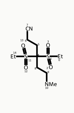 CCS(=O)(=O)C(CCC#N)(CCNC)S(=O)(=O)CC